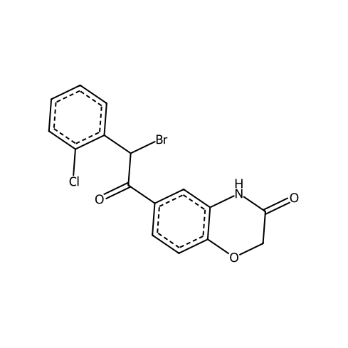 O=C1COc2ccc(C(=O)C(Br)c3ccccc3Cl)cc2N1